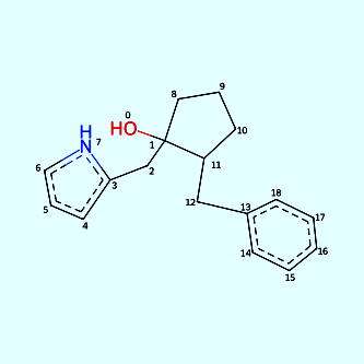 OC1(Cc2ccc[nH]2)CCCC1Cc1ccccc1